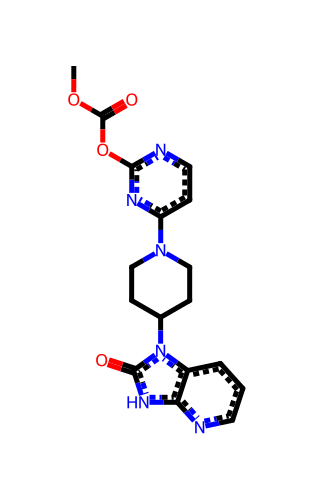 COC(=O)Oc1nccc(N2CCC(n3c(=O)[nH]c4ncccc43)CC2)n1